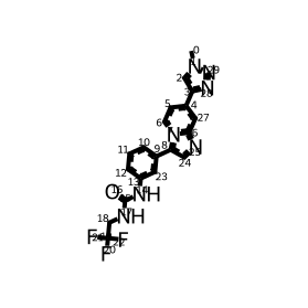 Cn1cc(-c2ccn3c(-c4cccc(NC(=O)NCC(F)(F)F)c4)cnc3c2)nn1